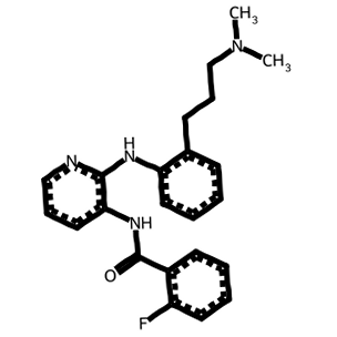 CN(C)CCCc1ccccc1Nc1ncccc1NC(=O)c1ccccc1F